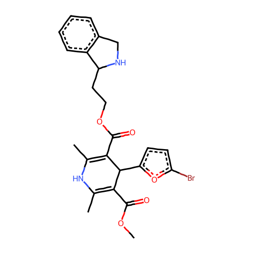 COC(=O)C1=C(C)NC(C)=C(C(=O)OCCC2NCc3ccccc32)C1c1ccc(Br)o1